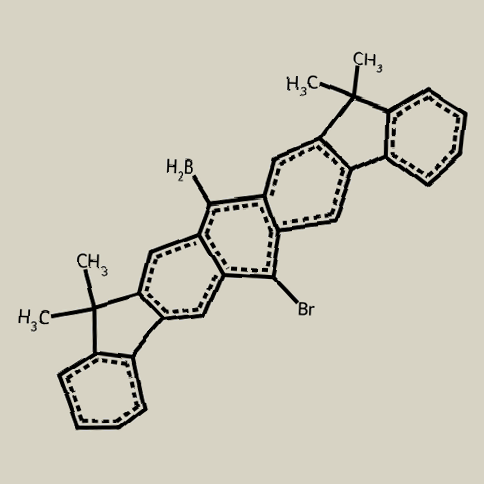 Bc1c2cc3c(cc2c(Br)c2cc4c(cc12)C(C)(C)c1ccccc1-4)-c1ccccc1C3(C)C